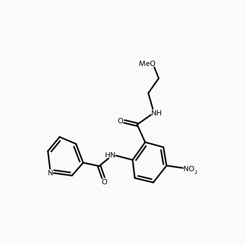 COCCNC(=O)c1cc([N+](=O)[O-])ccc1NC(=O)c1cccnc1